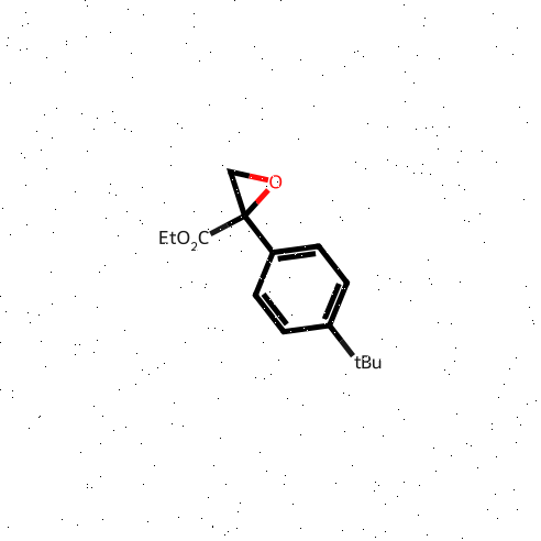 CCOC(=O)C1(c2ccc(C(C)(C)C)cc2)CO1